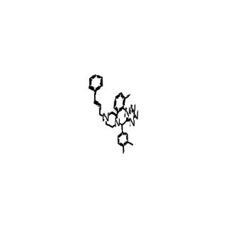 Cc1ccc(C(c2nnnn2-c2c(C)cccc2C)N2CCN(CC=Cc3ccccc3)CC2)cc1C